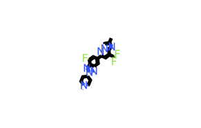 Cc1cn2nc(-c3cc(F)c4nn(C5CCN(C)CC5)nc4c3)cc(C(F)F)c2n1